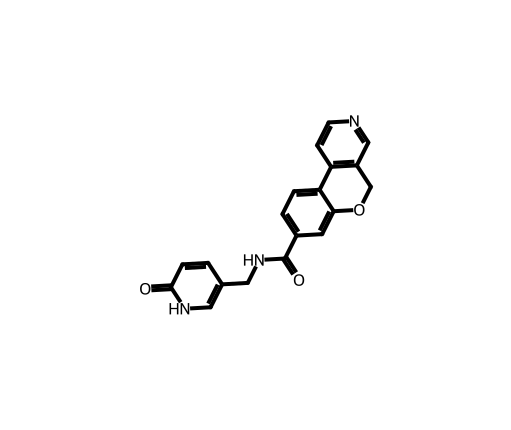 O=C(NCc1ccc(=O)[nH]c1)c1ccc2c(c1)OCc1cnccc1-2